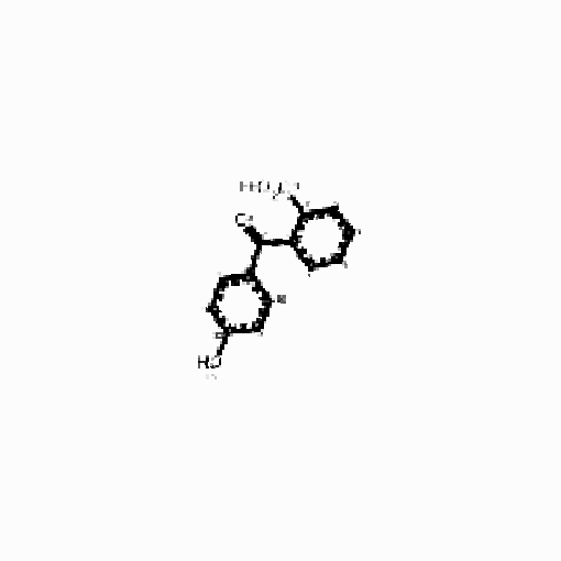 CCOC(=O)c1ccccc1C(=O)c1ccc(O)cc1